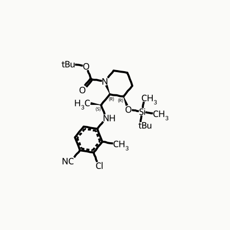 Cc1c(N[C@@H](C)[C@@H]2[C@H](O[Si](C)(C)C(C)(C)C)CCCN2C(=O)OC(C)(C)C)ccc(C#N)c1Cl